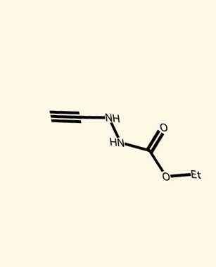 C#CNNC(=O)OCC